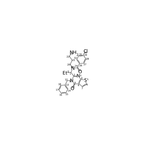 CCC(c1nc2sccc2c(=O)n1Cc1ccccc1)N(CCCN)C(=O)c1ccc(Cl)cc1